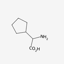 NC(C(=O)O)C1CCCC1